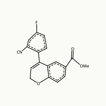 [C-]#[N+]c1cc(F)ccc1C1=CCOc2ccc(C(=O)OC)cc21